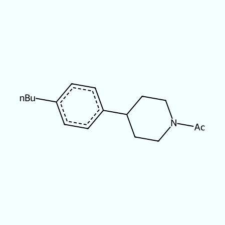 CCCCc1ccc(C2CCN(C(C)=O)CC2)cc1